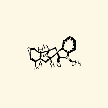 CC(=O)C1=COC[C@H]2[C@@H]3C[C@@]4(C(=O)N(C)c5ccccc54)[C@H](C[C@@H]12)N3